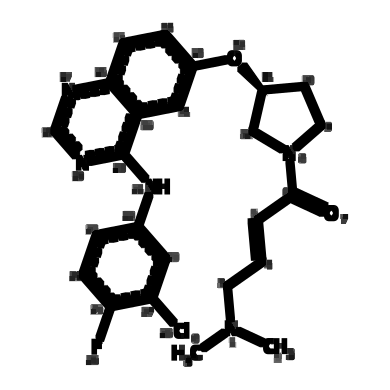 CN(C)CC=CC(=O)N1CC[C@H](Oc2ccc3ncnc(Nc4ccc(F)c(Cl)c4)c3c2)C1